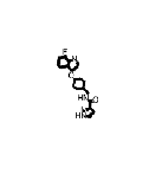 O=C(NCC1CCC(Oc2ccnc3c(F)cccc23)CC1)c1cc[nH]n1